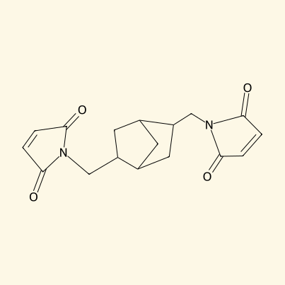 O=C1C=CC(=O)N1CC1CC2CC1CC2CN1C(=O)C=CC1=O